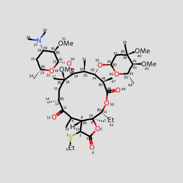 CCSC1C(=O)O[C@@]2(C)[C@H]1C(C)C(=O)[C@H](C)C[C@@](C)(OC)[C@H](O[C@@H]1O[C@H](C)C[C@H](N(C)C)[C@H]1OC)[C@@H](C)[C@H](O[C@H]1C[C@@](C)(OC)[C@@H](OC)[C@H](C)O1)[C@@H](C)C(=O)O[C@@H]2CC